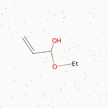 C=CC(O)OCC